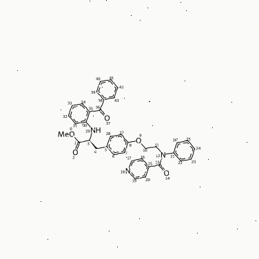 COC(=O)[C@H](Cc1ccc(OCCN(C(=O)c2ccncc2)c2ccccc2)cc1)Nc1ccccc1C(=O)c1ccccc1